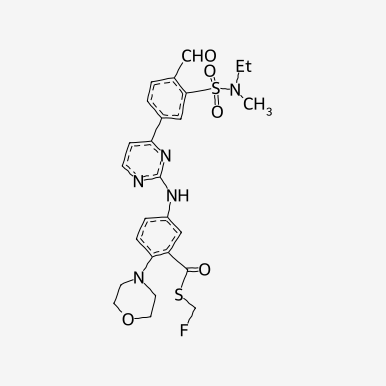 CCN(C)S(=O)(=O)c1cc(-c2ccnc(Nc3ccc(N4CCOCC4)c(C(=O)SCF)c3)n2)ccc1C=O